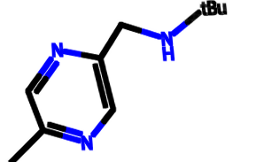 Cc1cnc(CNC(C)(C)C)cn1